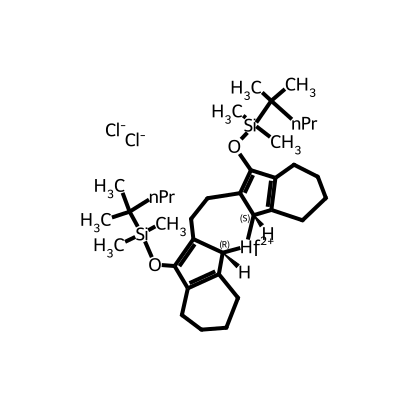 CCCC(C)(C)[Si](C)(C)OC1=C2CCC3=C(O[Si](C)(C)C(C)(C)CCC)C4=C(CCCC4)[C@@H]3[Hf+2][C@@H]2C2=C1CCCC2.[Cl-].[Cl-]